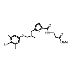 COC(=O)CCNC(=O)c1ccc(CC(C)CSc2cc(C)c(Br)c(C)c2)s1